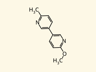 COc1ccc(-c2ccc(C)nc2)cn1